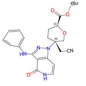 CC(C)(C)OC(=O)[C@@H]1CC[C@@](CC#N)(n2nc(Nc3ccccc3)c3c(=O)[nH]ccc32)CO1